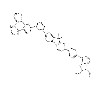 C=CC1Sc2c(-c3ccc(-c4ccc5c(c4)C(C)(C)c4cc(-c6cccc(-c7ccc8c(c7)c7ccccc7c7nccnc87)c6)ccc4-5)cc3)cccc2C1C=C